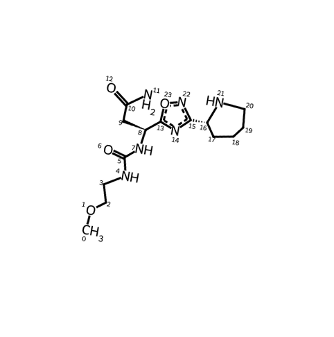 COCCNC(=O)N[C@@H](CC(N)=O)c1nc([C@H]2CCCCN2)no1